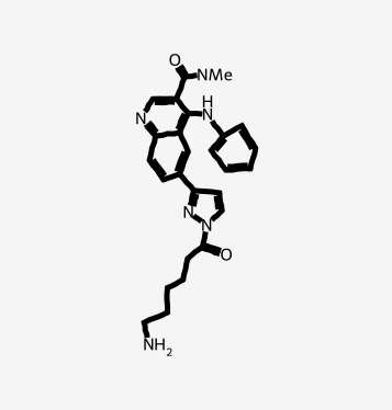 CNC(=O)c1cnc2ccc(-c3ccn(C(=O)CCCCCN)n3)cc2c1Nc1ccccc1